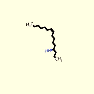 CCCCCC/C=C\CCCCC([NH])CCC